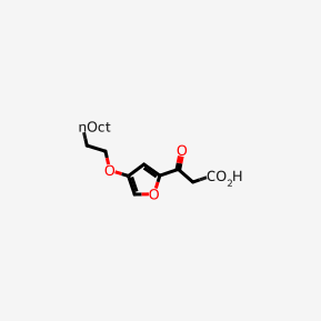 CCCCCCCCCCOc1coc(C(=O)CC(=O)O)c1